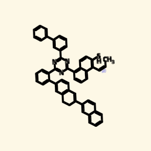 C/C=C\c1c(S)ccc2c(-c3nc(-c4cccc(-c5ccccc5)c4)nc(-c4ccccc4-c4ccc5c(c4)CCC(c4ccc6ccccc6c4)=C5)n3)cccc12